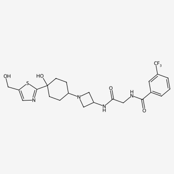 O=C(CNC(=O)c1cccc(C(F)(F)F)c1)NC1CN(C2CCC(O)(c3ncc(CO)s3)CC2)C1